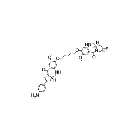 COc1cc2c(cc1OCCCCCOc1cc3c(cc1OC)C(=O)N1C[C@H](F)C[C@H]1CN3)NC[C@@H]1CC(c3ccc(N)cc3)=CN1C2=O